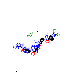 Cl.Cn1cc(NC(=O)c2cc(NC(=O)c3cc4cc(NC(=O)c5ccc(N(CCCl)CCCl)cc5)ccc4[nH]3)cn2C)cc1C(=O)NCCC(=N)N